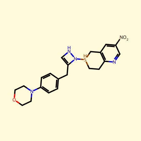 O=[N+]([O-])c1cnc2c(c1)C[SH](n1[nH]cc1Cc1ccc(N3CCOCC3)cc1)CC2